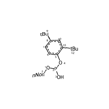 CCCCCCCCCOP(O)Oc1ccc(C(C)(C)C)cc1C(C)(C)C